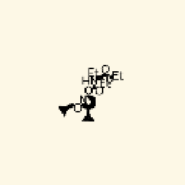 CCN(C)C(=O)C(CC)(CC)NC(=O)Oc1ccc(C2CC2)c(OCC2CC2)n1